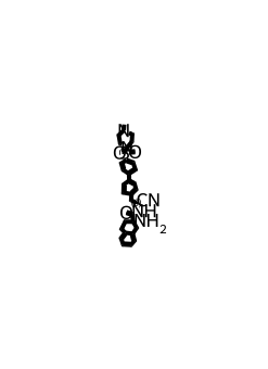 CN1CCN(S(=O)(=O)c2ccc(-c3ccc(C[C@@H](C#N)NC(=O)C4(N)CCc5ccccc5C4)cc3)cc2)CC1